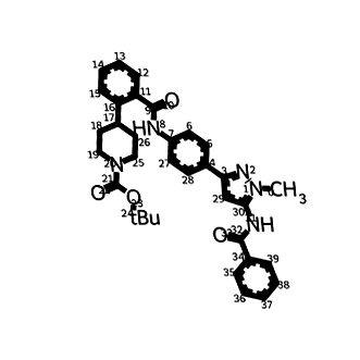 Cn1nc(-c2ccc(NC(=O)c3ccccc3C3CCN(C(=O)OC(C)(C)C)CC3)cc2)cc1NC(=O)c1ccccc1